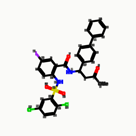 COC(=O)CC(NC(=O)c1cc(I)ccc1NS(=O)(=O)c1cc(Cl)ccc1Cl)c1ccc(-c2ccccc2)cc1